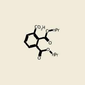 CCCOC(=O)c1cccc(C(=O)O)c1C(=O)OCCC